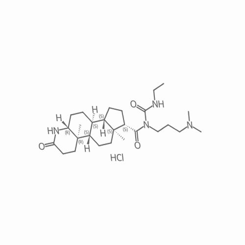 CCNC(=O)N(CCCN(C)C)C(=O)[C@H]1CC[C@H]2[C@@H]3CC[C@H]4NC(=O)CC[C@]4(C)[C@H]3CC[C@]12C.Cl